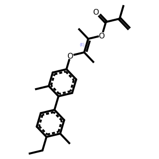 C=C(C)C(=O)O/C(C)=C(\C)Oc1ccc(-c2ccc(CC)c(C)c2)c(C)c1